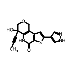 CC#CC1(O)COCc2c1[nH]c(=O)c1sc(-c3cn[nH]c3)cc21